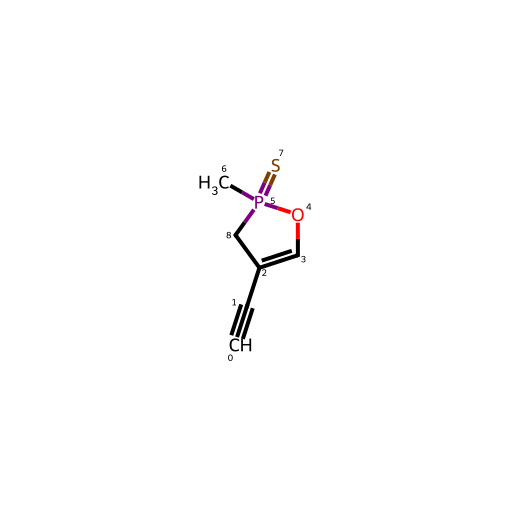 C#CC1=COP(C)(=S)C1